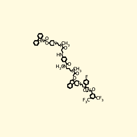 CN(CCN1CCC(OC(=O)Nc2ccccc2-c2ccccc2)CC1)C(=O)CCNc1ccc(C(=O)N(C)CCCN(C)C(=O)CO[C@H]2Cc3ccccc3C23CCN(CC[C@@]2(c4ccc(F)cc4)CN(C(=O)c4cc(C(F)(F)F)cc(C(F)(F)F)c4)CO2)CC3)cc1